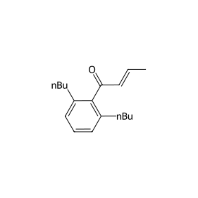 C/C=C/C(=O)c1c(CCCC)cccc1CCCC